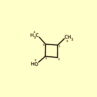 CC1CC(O)C1C